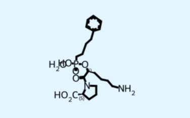 NCCCC[C@H](OP(=O)(O)CCCCc1ccccc1)C(=O)N1CCC[C@H]1C(=O)O.O